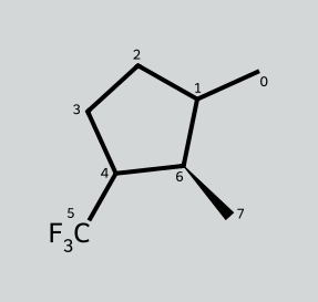 CC1CCC(C(F)(F)F)[C@@H]1C